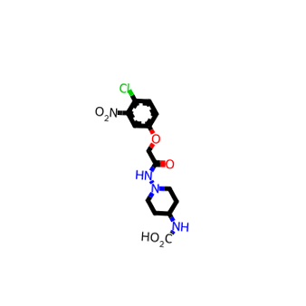 O=C(O)NC1CCN(NC(=O)COc2ccc(Cl)c([N+](=O)[O-])c2)CC1